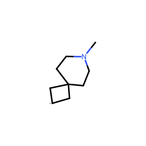 CN1CCC2(C[CH]C2)CC1